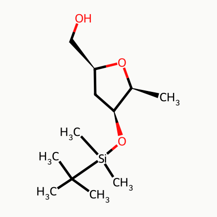 C[C@@H]1O[C@H](CO)C[C@@H]1O[Si](C)(C)C(C)(C)C